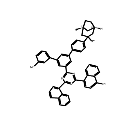 CC(C)C1(c2ccc(-c3cc(-c4cccc(C#N)c4)cc(-c4nc(-c5cccc6ccccc56)nc(-c5ccc(C#N)c6ccccc56)n4)c3)cc2)C[C@@H]2CC[C@@H](C2)C1